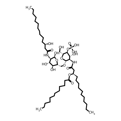 CCCCCCCCCCCC(=O)O[C@H](CCCCCCCCCCC)CC(=O)N[C@H]1[C@H](OC[C@H]2O[C@H](O)[C@H](NC(=O)C[C@H](O)CCCCCCCCCCC)[C@@H](O)[C@@H]2O)O[C@H](CO)[C@@H](OP(=O)(O)O)[C@@H]1O